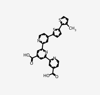 Cc1ccsc1-c1ccc(-c2ccnc(-c3cc(C(=O)O)cc(-c4cc(C(=O)O)ccn4)n3)c2)s1